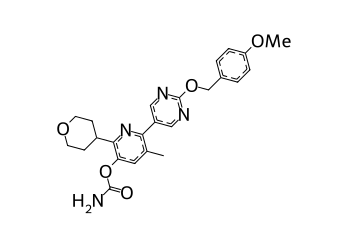 COc1ccc(COc2ncc(-c3nc(C4CCOCC4)c(OC(N)=O)cc3C)cn2)cc1